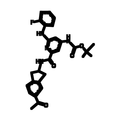 CC(=O)c1ccc2c(c1)CC(NC(=O)c1cc(NC(=O)OC(C)(C)C)cc(Nc3ccccc3F)n1)C2